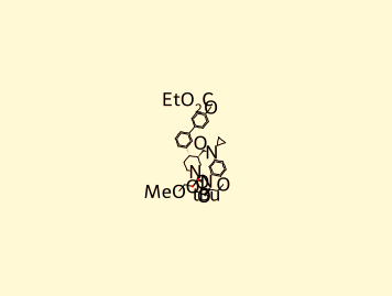 CCOC(=O)Oc1ccc(-c2cccc([C@H]3CCN(C(=O)OC(C)(C)C)C[C@@H]3C(=O)N(c3ccc4c(c3)N(CCCOC)C(=O)CO4)C3CC3)c2)cc1